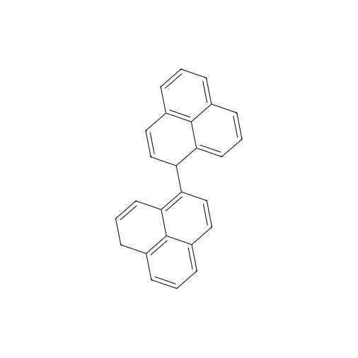 C1=Cc2c(C3C=Cc4cccc5cccc3c45)ccc3cccc(c23)C1